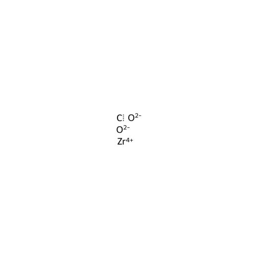 [C].[O-2].[O-2].[Zr+4]